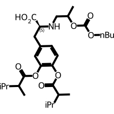 CCCCOC(=O)OC(C)CN[C@@H](Cc1ccc(OC(=O)C(C)C(C)C)c(OC(=O)C(C)C(C)C)c1)C(=O)O